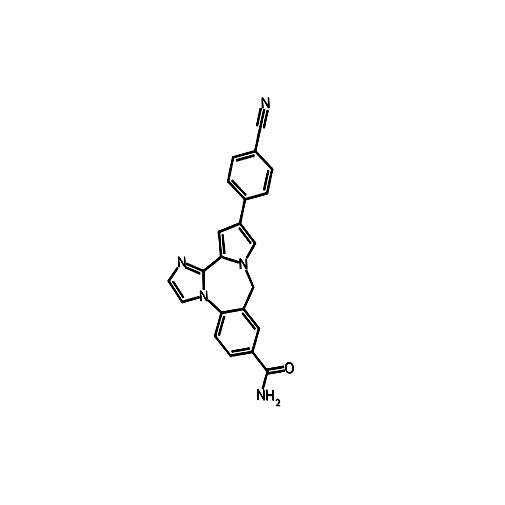 N#Cc1ccc(-c2cc3n(c2)Cc2cc(C(N)=O)ccc2-n2ccnc2-3)cc1